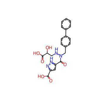 O=C(O)c1cc(C(=O)N(Cc2ccc(-c3ccccc3)cc2)NCC(O)C(=O)O)[nH]n1